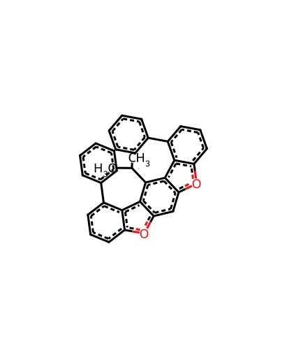 CC(C)c1c2c(cc3oc4cccc(-c5ccccc5)c4c13)oc1cccc(-c3ccccc3)c12